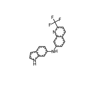 FC(F)(F)c1ccc2ccc(Nc3ccc4cc[nH]c4c3)cc2n1